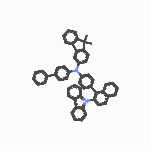 CC1(C)c2ccccc2-c2cc(N(c3ccc(-c4ccccc4)cc3)c3ccc(-c4c(-n5c6ccccc6c6ccccc65)ccc5ccccc45)cc3)ccc21